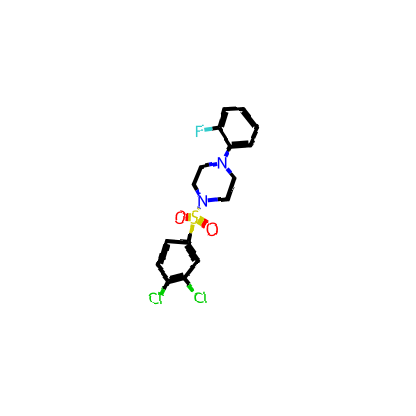 O=S(=O)(c1ccc(Cl)c(Cl)c1)N1CCN(c2ccccc2F)CC1